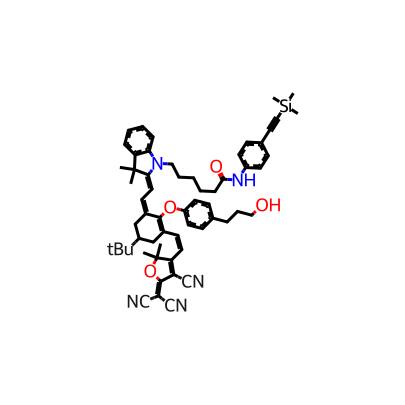 CC1(C)OC(=C(C#N)C#N)C(C#N)=C1C=CC1=C(Oc2ccc(CCCO)cc2)C(=CC=C2N(CCCCCC(=O)Nc3ccc(C#C[Si](C)(C)C)cc3)c3ccccc3C2(C)C)CC(C(C)(C)C)C1